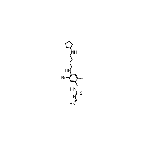 N=C/N=C(\S)NSc1cc(Br)c(NCCCCNC2CCCC2)cc1F